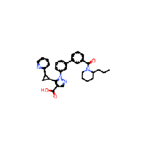 CCCC1CCCCN1C(=O)c1cccc(-c2cccc(-n3ncc(C(=O)O)c3C3CC3c3ccccn3)c2)c1